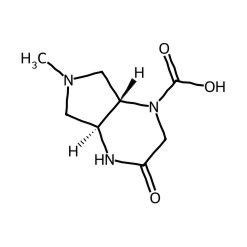 CN1C[C@@H]2NC(=O)CN(C(=O)O)[C@H]2C1